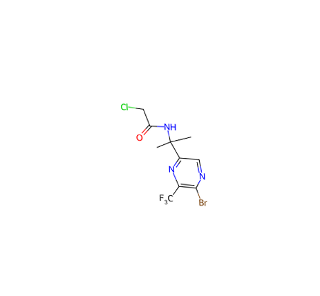 CC(C)(NC(=O)CCl)c1cnc(Br)c(C(F)(F)F)n1